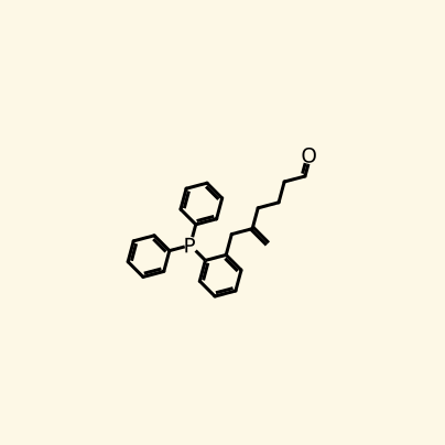 C=C(CCCC=O)Cc1ccccc1P(c1ccccc1)c1ccccc1